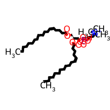 CCCCCCCCCCCC/C=C\CCCC(=O)OC[C@H](COP(=O)(O)OCC[N+](C)(C)C)OC(=O)CCC/C=C\CCCCCCCCCCCC